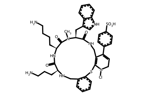 CN1C(=O)[C@H](CCCCN)NC(=O)[C@H](CCCN)NCc2ccccc2SC2=C(CNC(=O)[C@@H]1Cc1c[nH]c3ccccc13)C(c1ccc(S(=O)(=O)O)cc1)=CCN2Cl